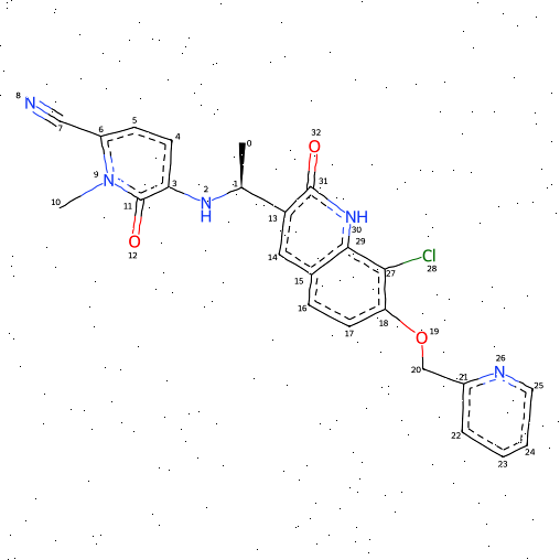 C[C@H](Nc1ccc(C#N)n(C)c1=O)c1cc2ccc(OCc3ccccn3)c(Cl)c2[nH]c1=O